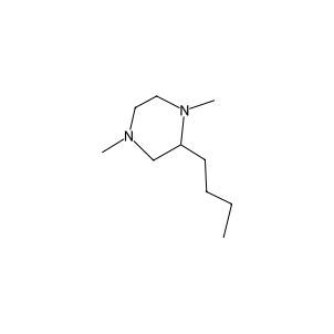 CCCCC1CN(C)CCN1C